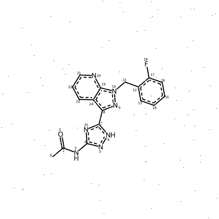 CC(=O)Nc1n[nH]c(-c2nn(Cc3ccccc3F)c3ncccc23)n1